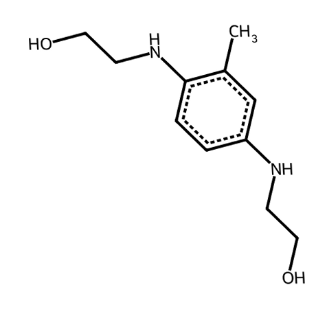 Cc1cc(NCCO)ccc1NCCO